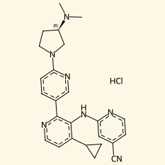 CN(C)[C@@H]1CCN(c2ccc(-c3nccc(C4CC4)c3Nc3cc(C#N)ccn3)cn2)C1.Cl